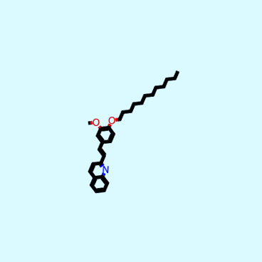 CCCCCCCCCCCCOc1ccc(/C=C/c2ccc3ccccc3n2)cc1OC